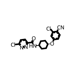 N#Cc1ccc(O[C@H]2CC[C@H](NC(=O)c3ccc(Cl)nn3)CC2)cc1Cl